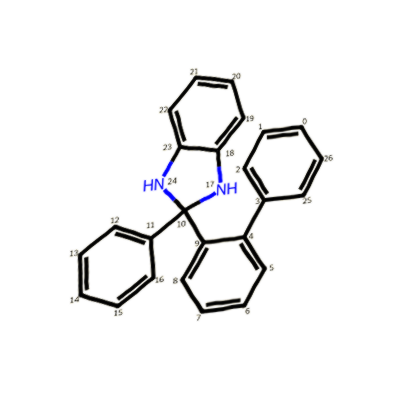 c1ccc(-c2ccccc2C2(c3ccccc3)Nc3ccccc3N2)cc1